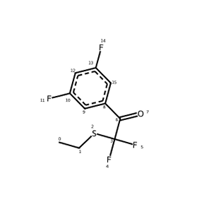 CCSC(F)(F)C(=O)c1cc(F)cc(F)c1